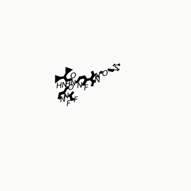 Cc1nn(COCCS(C)(C)C)c(C)c1-c1ccc(NC(=O)C(NC(=O)c2ccnn2C(C)C(F)F)C(C2CC2)C2CC2)nc1F